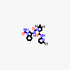 CCc1cccc(NC(=O)[C@@H]2C[C@H]3C[C@H]3N2C(=O)Nc2cn(C(N)=O)c3ccccc23)n1